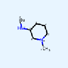 CCC(C)NC1CCCN(C)C1